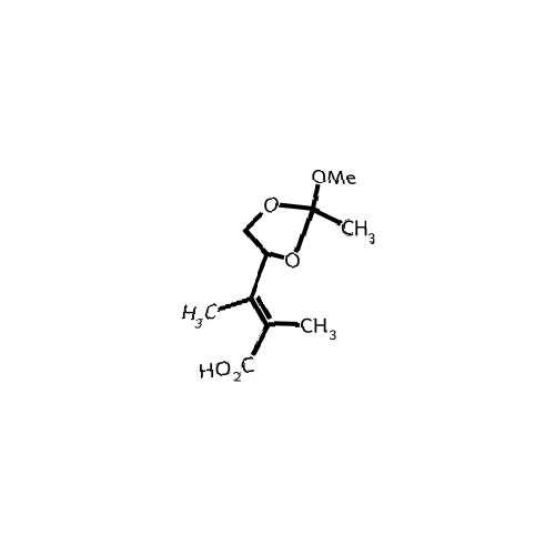 COC1(C)OCC(C(C)=C(C)C(=O)O)O1